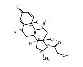 C[C@@H]1C[C@H]2C3=C([C@@H](O)C[C@]2(C)[C@H]1C(=O)CO)[C@@]1(C)C=CC(=O)C=C1[C@@H](F)C3